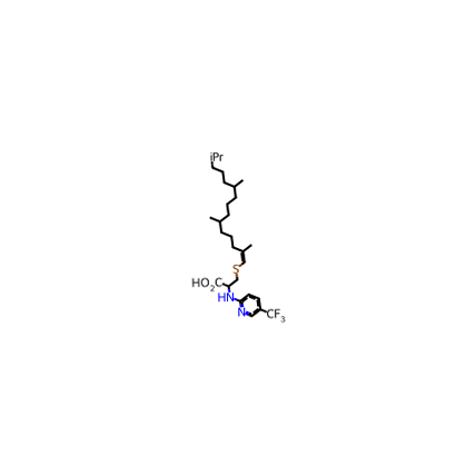 CC(=CSCC(Nc1ccc(C(F)(F)F)cn1)C(=O)O)CCCC(C)CCCC(C)CCCC(C)C